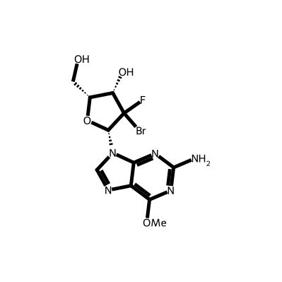 COc1nc(N)nc2c1ncn2[C@@H]1O[C@H](CO)[C@H](O)C1(F)Br